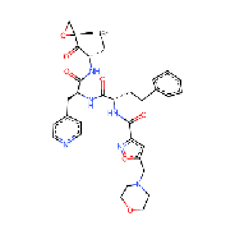 CC(C)C[C@H](NC(=O)[C@H](Cc1ccncc1)NC(=O)[C@H](CCc1ccccc1)NC(=O)c1cc(CN2CCOCC2)on1)C(=O)[C@@]1(C)CO1